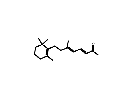 CC(=O)/C=C/C=C(\C)CCC1=C(C)CCCC1(C)C